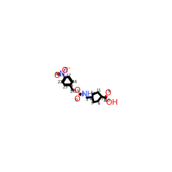 O=C(NCC1CCC(C(=O)O)CC1)OCc1ccc([N+](=O)[O-])cc1